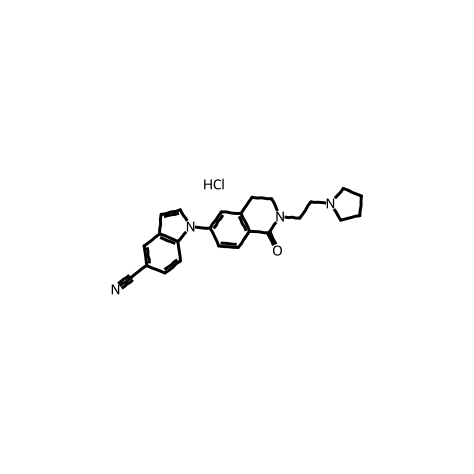 Cl.N#Cc1ccc2c(ccn2-c2ccc3c(c2)CCN(CCN2CCCC2)C3=O)c1